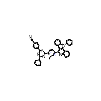 C=C(/C=C\C(=C/CC)c1nc2ccccc2c2c1c1ccccc1n2-c1ccccc1)c1nc(-c2ccccc2)nc(-c2ccc(C#N)cc2)n1